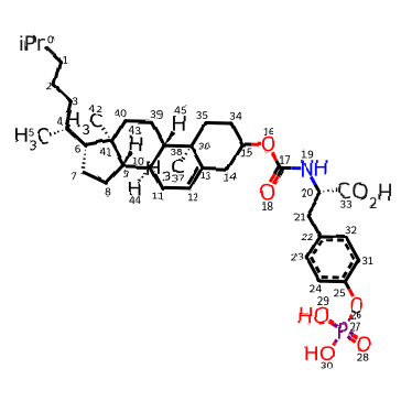 CC(C)CCC[C@@H](C)[C@H]1CC[C@H]2[C@@H]3CC=C4CC(OC(=O)N[C@@H](Cc5ccc(OP(=O)(O)O)cc5)C(=O)O)CC[C@]4(C)[C@H]3CC[C@]12C